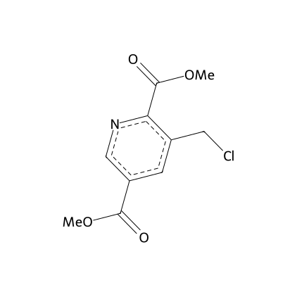 COC(=O)c1cnc(C(=O)OC)c(CCl)c1